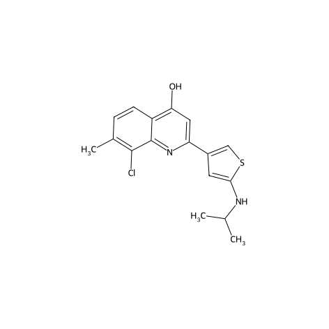 Cc1ccc2c(O)cc(-c3csc(NC(C)C)c3)nc2c1Cl